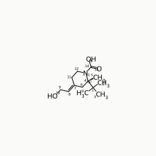 CC(C)(C)[C@]1(C)CC(=CCO)CCN1C(=O)O